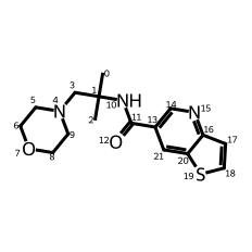 CC(C)(CN1CCOCC1)NC(=O)c1cnc2ccsc2c1